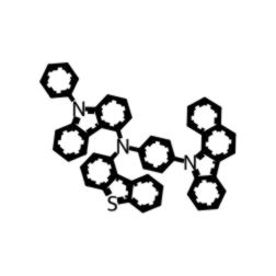 c1ccc(-n2c3ccccc3c3c(N(c4ccc(-n5c6ccccc6c6ccc7ccccc7c65)cc4)c4cccc5sc6ccccc6c45)cccc32)cc1